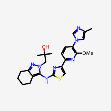 COc1nc(-c2csc(Nc3c4c(nn3CC(C)(C)O)CCCC4)n2)ccc1-n1cnc(C)c1